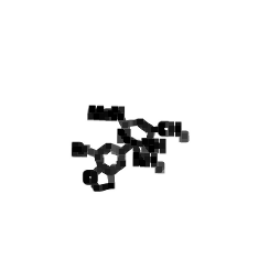 CNC1=NC(N)(c2cc(Br)c3c(c2)CCO3)NC(C)=C1